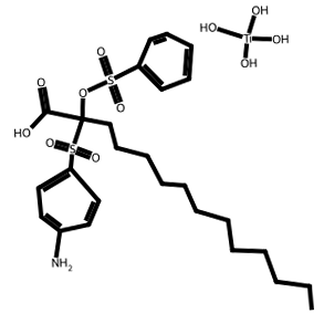 CCCCCCCCCCCCC(OS(=O)(=O)c1ccccc1)(C(=O)O)S(=O)(=O)c1ccc(N)cc1.[OH][Ti]([OH])([OH])[OH]